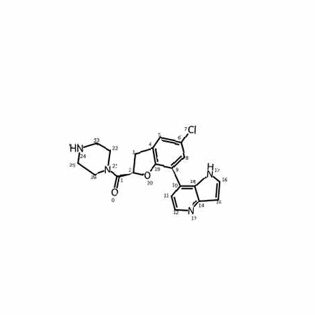 O=C([C@H]1Cc2cc(Cl)cc(-c3ccnc4cc[nH]c34)c2O1)N1CCNCC1